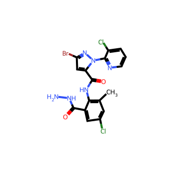 Cc1cc(Cl)cc(C(=O)NN)c1NC(=O)c1cc(Br)nn1-c1ncccc1Cl